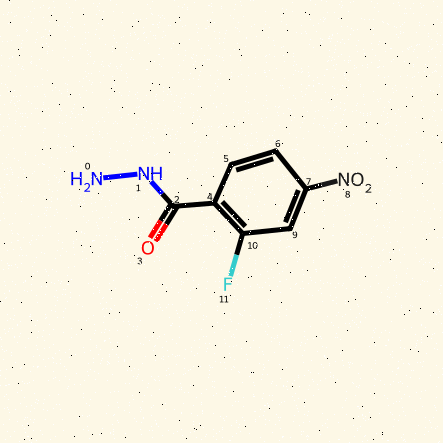 NNC(=O)c1ccc([N+](=O)[O-])cc1F